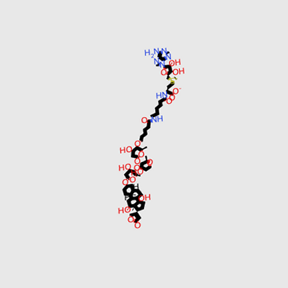 C[C@H]1OC(O[C@@H]2[C@@H](C)OCC[C@@]2(O)O[C@H]2[C@@H](O)CC(O[C@@H]3CC[C@@]4(C)[C@H](CCC5[C@@H]4C[C@@H](O)[C@]4(C)[C@@H](C6=CC(=O)OC6)CC[C@]54O)C3)O[C@@H]2C)C[C@H](O)[C@@H]1OCCCCCC(=O)NCCCCCC(=O)N[C@@H](CC[S+](C)C[C@H]1O[C@@H](n2cnc3c(N)ncnc32)[C@H](O)[C@@H]1O)C(=O)[O-]